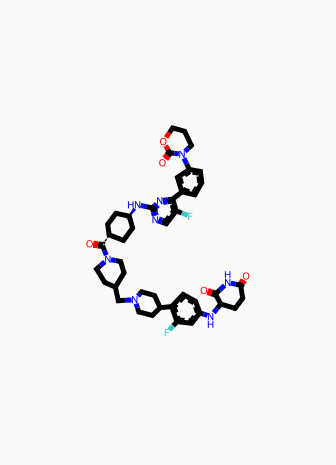 O=C1CCC(Nc2ccc(C3CCN(CC4CCN(C(=O)[C@H]5CC[C@H](Nc6ncc(F)c(-c7cccc(N8CCCOC8=O)c7)n6)CC5)CC4)CC3)c(F)c2)C(=O)N1